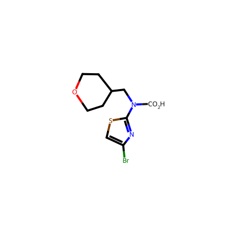 O=C(O)N(CC1CCOCC1)c1nc(Br)cs1